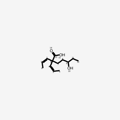 C/C=C\C(/C=C\C)(CCC(O)CC)C(=O)O